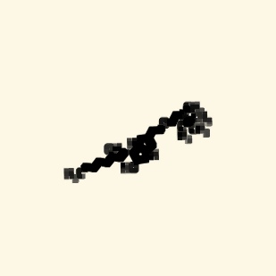 CCCCC[C@H](O)/C=C/[C@@H]1[C@H]2CC(CCOCCN(C)C(C)(C)C)=C[C@H]2C[C@H]1O